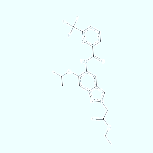 CCOC(=O)Cn1cc2cc(NC(=O)c3cccc(C(F)(F)F)n3)c(OC(C)C)cc2n1